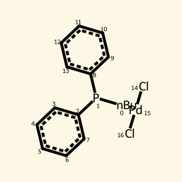 CCCCP(c1ccccc1)c1ccccc1.[Cl][Pd][Cl]